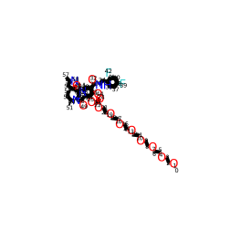 COCCOCCOCCOCCOCCOCCOCCOC(=O)Oc1c2n(cc(C(=O)NCc3ccc(F)cc3F)c1=O)[C@@H]1CN(C2=O)[C@@H](C)CC[C@]12CC(C)=NO2